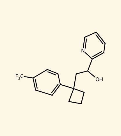 OC(CC1(c2ccc(C(F)(F)F)cc2)CCC1)c1ccccn1